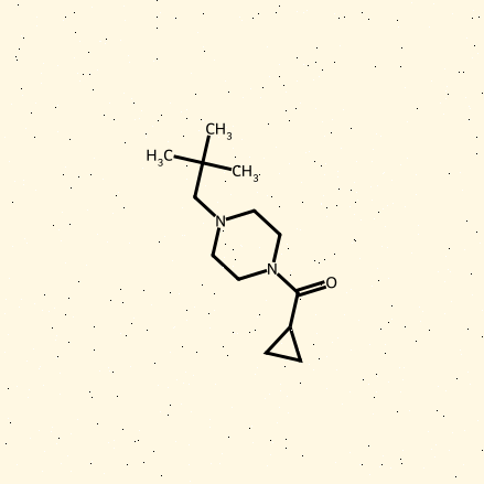 CC(C)(C)CN1CCN(C(=O)C2CC2)CC1